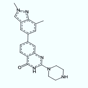 Cc1cc(-c2ccc3c(=O)[nH]c(N4CCNCC4)nc3c2)cc2cn(C)nc12